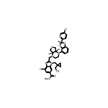 COC(=O)c1cc(Cl)c2nc(CN3CCN(c4cccc5c4O[C@](C)(c4ccc(Cl)cn4)O5)[C@H]4COC[C@H]43)n(CC3(CC#N)CC3)c2c1